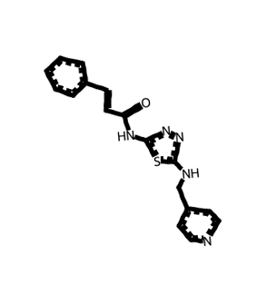 O=C(C=Cc1ccccc1)Nc1nnc(NCc2ccncc2)s1